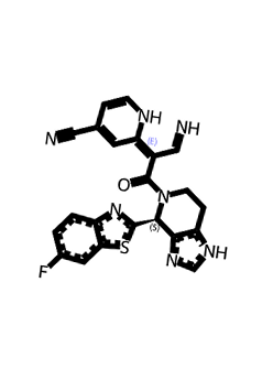 N#CC1=C/C(=C(/C=N)C(=O)N2CCc3[nH]cnc3[C@H]2c2nc3ccc(F)cc3s2)NC=C1